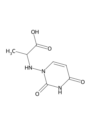 CC(Nn1ccc(=O)[nH]c1=O)C(=O)O